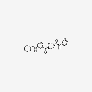 O=C(Nc1cccnc1)N1CCN(C(=O)c2cccc(NCC3CCCCC3)c2)CC1